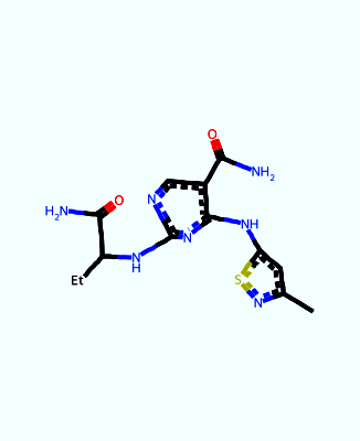 CCC(Nc1ncc(C(N)=O)c(Nc2cc(C)ns2)n1)C(N)=O